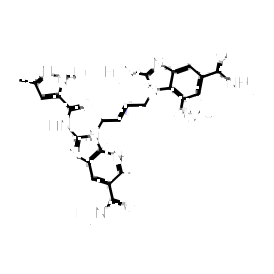 CCn1nc(C)cc1C(=O)Nc1nc2cc(C(N)=O)cnc2n1C/C=C/Cn1c(N)nc2cc(C(N)=O)cc(OC)c21